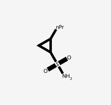 CCCC1CC1S(N)(=O)=O